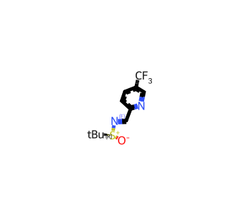 CC(C)(C)[S@+]([O-])/N=C/c1ccc(C(F)(F)F)cn1